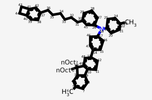 CCCCCCCCC1(CCCCCCCC)c2cc(C)ccc2-c2ccc(-c3ccc(N(c4ccc(C)cc4)c4cccc(CCCCCCc5ccc6c(c5)CC6)c4)cc3)cc21